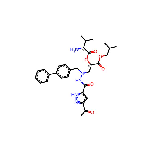 CC(=O)c1cc(C(=O)NN(Cc2ccc(-c3ccccc3)cc2)C[C@@H](OC(=O)[C@@H](N)C(C)C)C(=O)OCC(C)C)[nH]n1